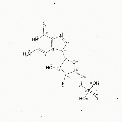 Nc1cc2c(ncn2[C@@H]2O[C@H](OCP(=O)(O)O)C(F)[C@@H]2O)c(=O)[nH]1